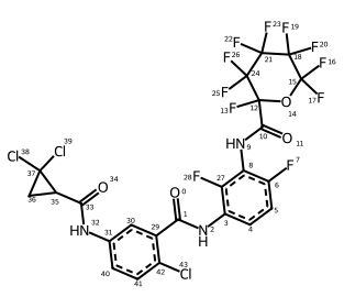 O=C(Nc1ccc(F)c(NC(=O)C2(F)OC(F)(F)C(F)(F)C(F)(F)C2(F)F)c1F)c1cc(NC(=O)C2CC2(Cl)Cl)ccc1Cl